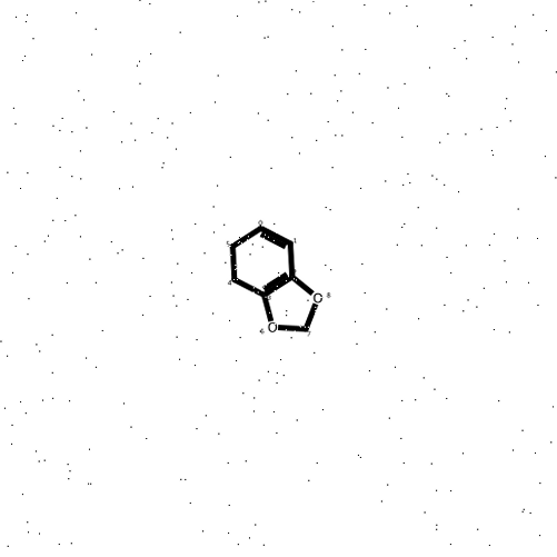 C1=CC2=C(CC1)OCO2